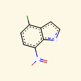 O=[N+]([O-])c1ccc(Cl)c2cc[nH]c12